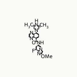 COc1cn2cc(NC(=O)c3ccc(N4C[C@@H](C)N[C@@H](C)C4)c4nccnc34)cc(F)c2n1